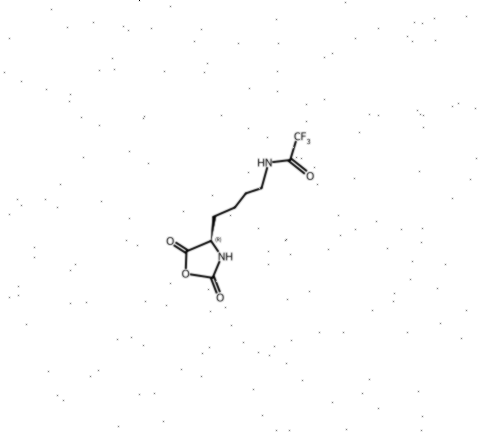 O=C1N[C@H](CCCCNC(=O)C(F)(F)F)C(=O)O1